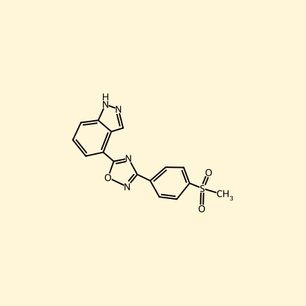 CS(=O)(=O)c1ccc(-c2noc(-c3cccc4[nH]ncc34)n2)cc1